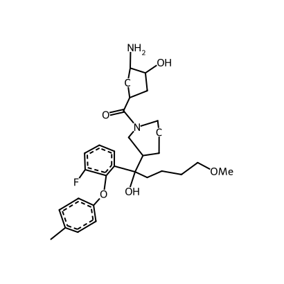 COCCCCC(O)(c1cccc(F)c1Oc1ccc(C)cc1)C1CCCN(C(=O)C2CC(N)C(O)C2)C1